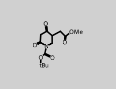 COC(=O)CC1CN(C(=O)OC(C)(C)C)C(=O)CC1=O